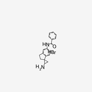 Br.NC1CC12CCc1cc(NC(=O)c3ccccc3)ccc12